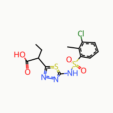 CCC(C(=O)O)c1nnc(NS(=O)(=O)c2cccc(Cl)c2C)s1